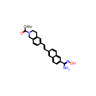 COC(=O)N1CCc2cc(C=Cc3ccc4cc(C(N)=NO)ccc4c3)ccc2C1